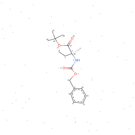 CC[C@](C)(NC(=O)OCc1ccccc1)C(=O)OC(C)(C)C